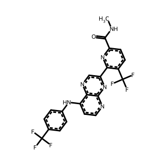 CNC(=O)c1ccc(C(F)(F)F)c(-c2cnc3c(Nc4ccc(C(F)(F)F)cc4)ccnc3n2)n1